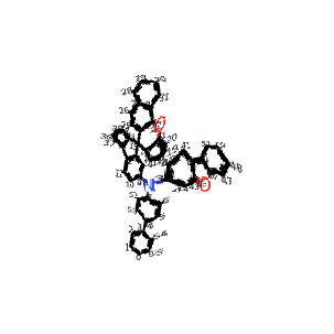 c1ccc(-c2ccc(N(c3ccc4c(c3)C3(c5ccccc5Oc5c3ccc3ccccc53)c3ccccc3-4)c3ccc4c(c3)oc3ccccc34)cc2)cc1